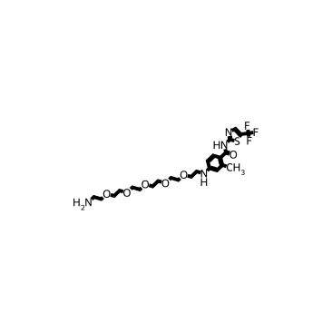 Cc1cc(NCCOCCOCCOCCOCCOCCN)ccc1C(=O)Nc1ncc(C(F)(F)F)s1